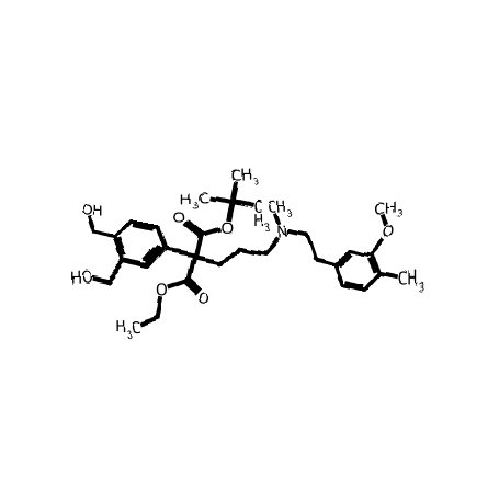 CCOC(=O)C(CCCN(C)CCc1ccc(C)c(OC)c1)(C(=O)OC(C)(C)C)c1ccc(CO)c(CO)c1